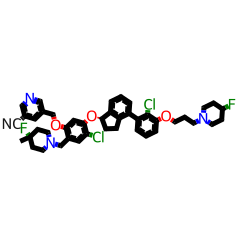 CC1(F)CCN(Cc2cc(Cl)c(O[C@H]3CCc4c(-c5cccc(OCCCN6CCC(F)CC6)c5Cl)cccc43)cc2OCc2cncc(C#N)c2)CC1